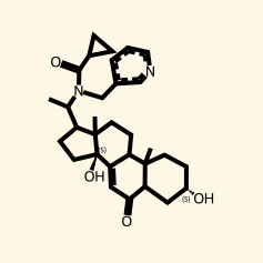 CC(C1CC[C@@]2(O)C3=CC(=O)C4C[C@@H](O)CCC4(C)C3CCC12C)N(Cc1cccnc1)C(=O)C1CC1